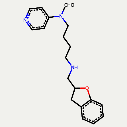 O=CN(CCCCNCC1Cc2ccccc2O1)c1ccncc1